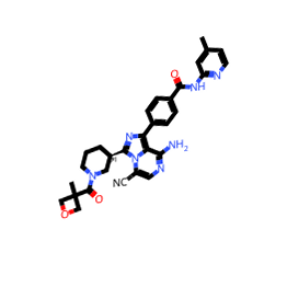 Cc1ccnc(NC(=O)c2ccc(-c3nc([C@@H]4CCCN(C(=O)C5(C)COC5)C4)n4c(C#N)cnc(N)c34)cc2)c1